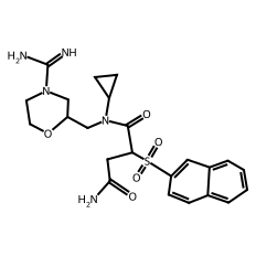 N=C(N)N1CCOC(CN(C(=O)C(CC(N)=O)S(=O)(=O)c2ccc3ccccc3c2)C2CC2)C1